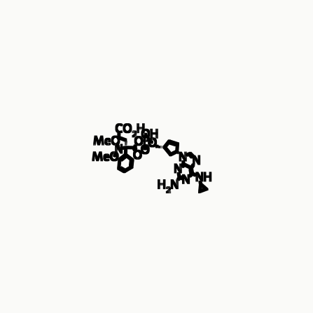 CON(OC)[C@@](CCC(=O)O)(C(=O)OP(=O)(O)OC[C@@H]1C=C[C@H](n2cnc3c(NC4CC4)nc(N)nc32)C1)c1ccccc1